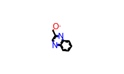 [O]Cc1cnc2ccccc2n1